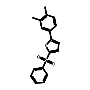 Cc1ccc(-c2ccc(S(=O)(=O)c3ccccc3)s2)cc1C